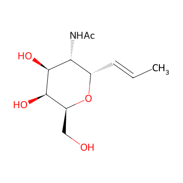 CC=C[C@@H]1O[C@@H](CO)[C@@H](O)[C@@H](O)[C@@H]1NC(C)=O